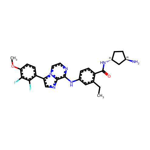 CCc1cc(Nc2nccn3c(-c4ccc(OC)c(F)c4F)cnc23)ccc1C(=O)N[C@@H]1CC[C@@H](N)C1